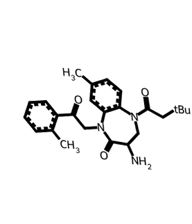 Cc1ccc2c(c1)N(CC(=O)c1ccccc1C)C(=O)C(N)CN2C(=O)CC(C)(C)C